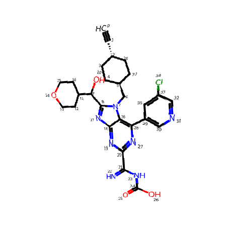 C#C[C@H]1CC[C@H](Cn2c(C(O)C3CCOCC3)nc3nc(C(=N)NC(=O)O)nc(-c4cncc(Cl)c4)c32)CC1